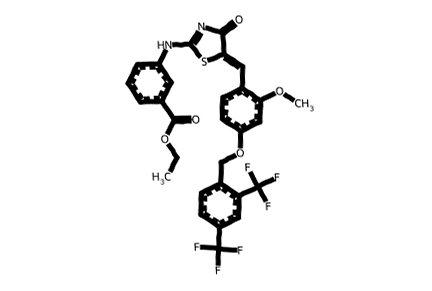 CCOC(=O)c1cccc(NC2=NC(=O)C(=Cc3ccc(OCc4ccc(C(F)(F)F)cc4C(F)(F)F)cc3OC)S2)c1